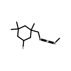 CN=C=NCC1(C)CC(I)CC(C)(C)C1